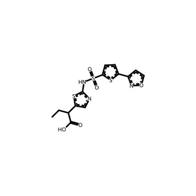 CCC(C(=O)O)c1cnc(NS(=O)(=O)c2ccc(-c3ccon3)s2)s1